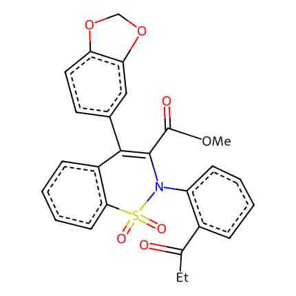 CCC(=O)c1ccccc1N1C(C(=O)OC)=C(c2ccc3c(c2)OCO3)c2ccccc2S1(=O)=O